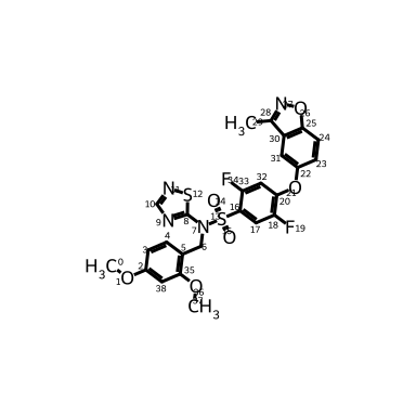 COc1ccc(CN(c2ncns2)S(=O)(=O)c2cc(F)c(Oc3ccc4onc(C)c4c3)cc2F)c(OC)c1